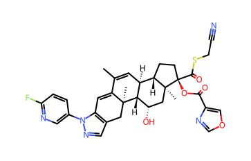 CC1=C[C@@H]2[C@H]([C@@H](O)C[C@@]3(C)[C@H]2CC[C@]3(OC(=O)c2cocn2)C(=O)SCC#N)[C@@]2(C)Cc3cnn(-c4ccc(F)nc4)c3C=C12